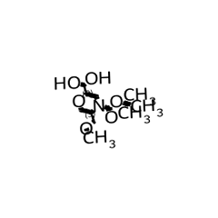 COC[C@H]1CO[C@@H](C(O)O)CN1C(=O)OC(C)(C)C